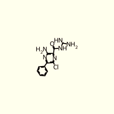 N=C(N)NC(=O)c1nc(Cl)c(-c2ccccc2)nc1N